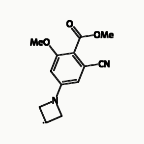 COC(=O)c1c(C#N)cc(N2C[CH]C2)cc1OC